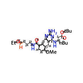 CCCC[C@@H](CC(=O)OC(C)(C)C)Nc1nc(N)nc(C)c1Cc1cc(C(=O)NCCCPOCC)ccc1OC